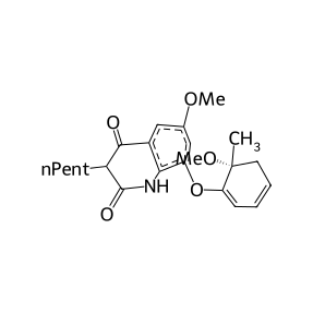 CCCCCC1C(=O)Nc2c(OC3=CC=CC[C@@]3(C)OC)cc(OC)cc2C1=O